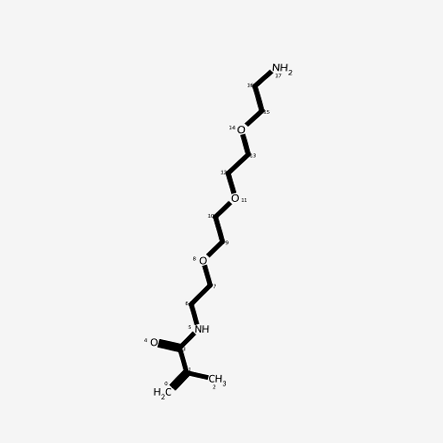 C=C(C)C(=O)NCCOCCOCCOCCN